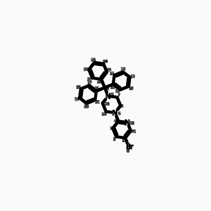 Brc1ccc(N2CCN(C(c3ccccc3)(c3ccccc3)c3ccccc3)CC2)nc1